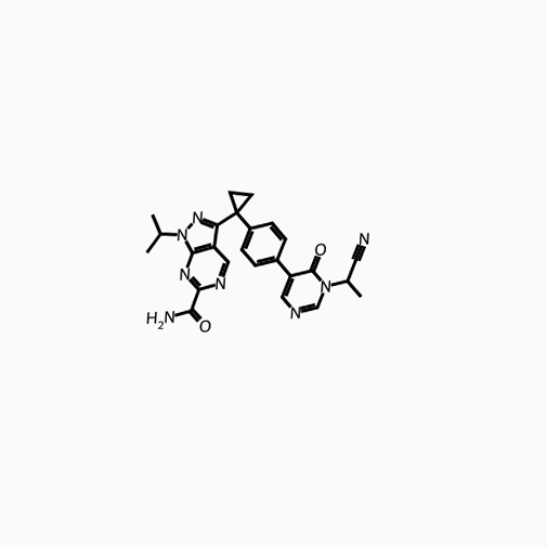 CC(C#N)n1cncc(-c2ccc(C3(c4nn(C(C)C)c5nc(C(N)=O)ncc45)CC3)cc2)c1=O